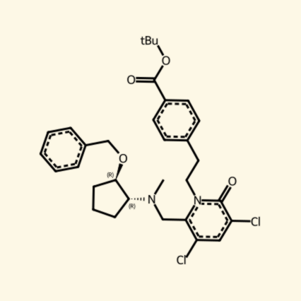 CN(Cc1c(Cl)cc(Cl)c(=O)n1CCc1ccc(C(=O)OC(C)(C)C)cc1)[C@@H]1CCC[C@H]1OCc1ccccc1